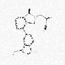 C=C(C#N)CN1Cc2c(cccc2-c2ccc3[nH]nc(CC)c3c2)C1=O